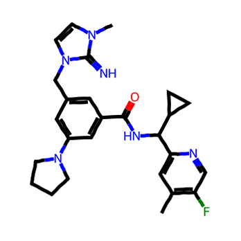 Cc1cc(C(NC(=O)c2cc(Cn3ccn(C)c3=N)cc(N3CCCC3)c2)C2CC2)ncc1F